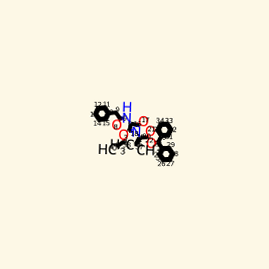 C#CCOC1C(NC(=O)Cc2ccccc2)C(=O)N1C(C(=O)OC(c1ccccc1)c1ccccc1)=C(C)C